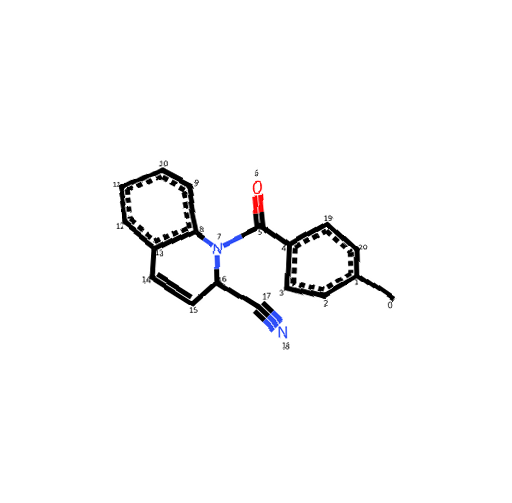 Cc1ccc(C(=O)N2c3ccccc3C=CC2C#N)cc1